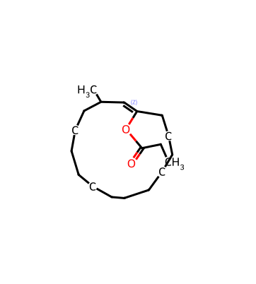 CCC(=O)O/C1=C\C(C)CCCCCCCCCCCC1